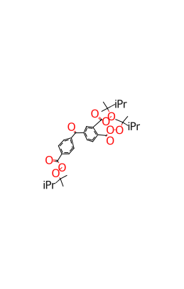 CC(C)C(C)(C)OOC(=O)c1ccc(C(=O)c2ccc(C(=O)OOC(C)(C)C(C)C)c(C(=O)OOC(C)(C)C(C)C)c2)cc1